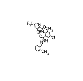 Cc1ccccc1C=NNC(=O)c1cc(Cl)cc(C)c1NC(=O)c1ncc(C(F)(F)F)cc1Cl